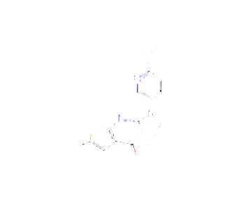 COc1ccc(N2CC[SH]3C(=O)c4cc(C)sc4N=C23)cn1